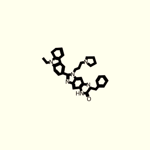 CCn1c2c(c3cc(-c4nc5cc6[nH]c(=O)c(Cc7ccccc7)nc6cc5n4CCCN4CCCC4)ccc31)C=CCC2